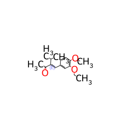 CCOc1cc(/C=C(/C(C)=O)C(C)C)ccc1OC